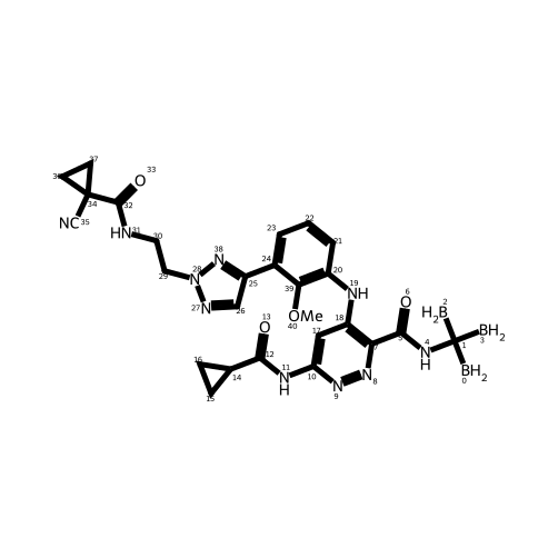 BC(B)(B)NC(=O)c1nnc(NC(=O)C2CC2)cc1Nc1cccc(-c2cnn(CCNC(=O)C3(C#N)CC3)n2)c1OC